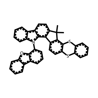 CC1(C)c2ccc3c4ccccc4n(-c4cccc5c4oc4ccccc45)c3c2-c2ccc3c(c21)Sc1ccccc1S3